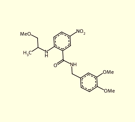 COCC(C)Nc1ccc([N+](=O)[O-])cc1C(=O)NCc1ccc(OC)c(OC)c1